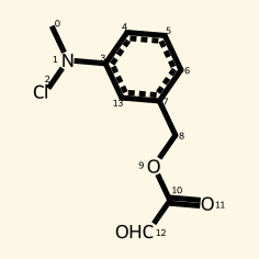 CN(Cl)c1cccc(COC(=O)C=O)c1